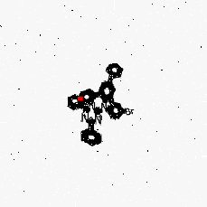 Brc1ccc2c(c1)c1cc(-c3ccccc3)cc(-c3ccccc3)c1n2-c1nc(-c2ccccc2)nc(-c2ccccc2)n1